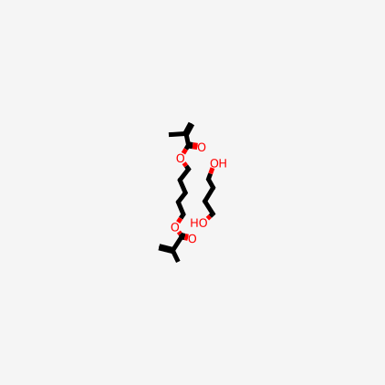 C=C(C)C(=O)OCCCCCOC(=O)C(=C)C.OCCCCO